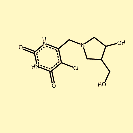 O=c1[nH]c(CN2CC(O)C(CO)C2)c(Cl)c(=O)[nH]1